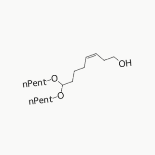 CCCCCOC(CCC/C=C\CCO)OCCCCC